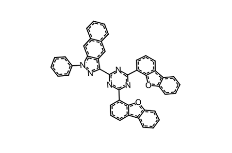 c1ccc(-n2nc(-c3nc(-c4cccc5c4oc4ccccc45)nc(-c4cccc5c4oc4ccccc45)n3)c3cc4ccccc4cc32)cc1